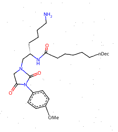 CCCCCCCCCCCCCCCC(=O)N[C@@H](CCCCN)CN1CC(=O)N(c2ccc(OC)cc2)C1=O